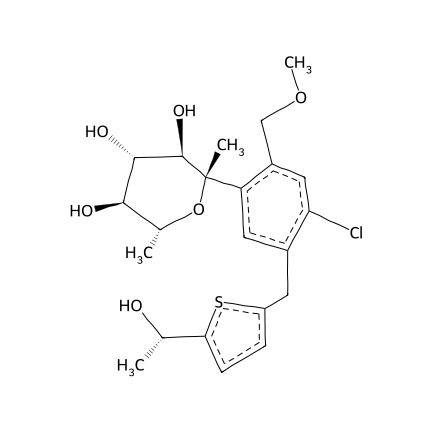 COCc1cc(Cl)c(Cc2ccc([C@H](C)O)s2)cc1[C@]1(C)O[C@H](C)[C@@H](O)[C@H](O)[C@H]1O